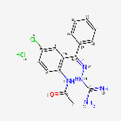 CC(=O)Nc1ccc(Cl)cc1/C(=N\NC(=N)N)c1ccccc1.Cl